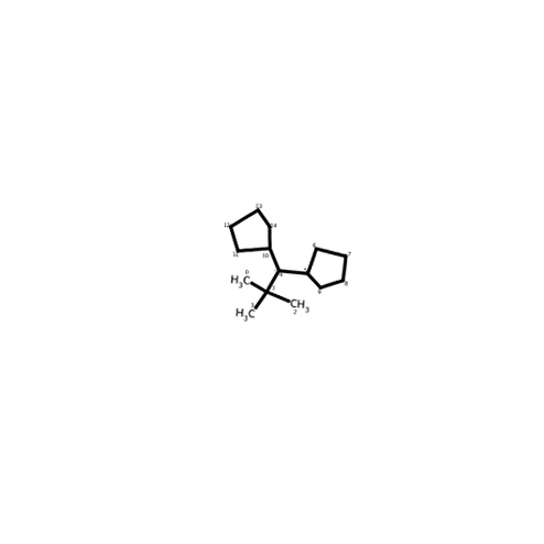 CC(C)(C)[C](C1CCCC1)C1CCCC1